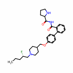 CCC[C@H](F)CN1CCC(COc2ccc(-c3ccccc3C(=O)NC(=O)C3CCCN3)cc2)CC1